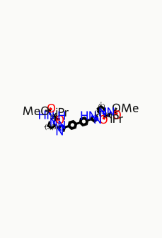 COC(=O)N[C@H](C(=O)N1C[C@@H](C)C[C@H]1c1ncc(-c2ccc(-c3ccc(-c4cnc([C@@H]5C[C@H](C)CN5C(=O)[C@@H](NC(=O)OC)C(C)C)[nH]4)cc3)cc2)[nH]1)C(C)C